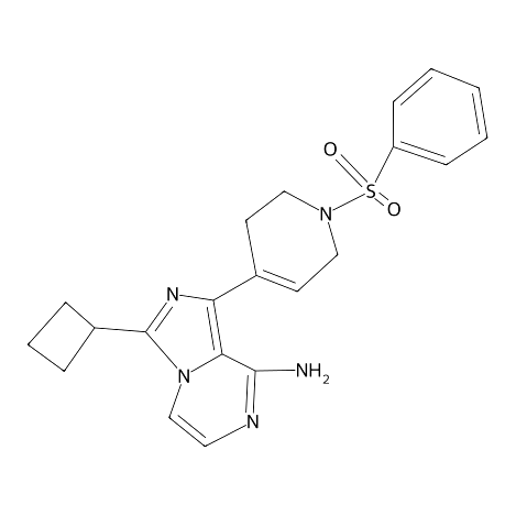 Nc1nccn2c(C3CCC3)nc(C3=CCN(S(=O)(=O)c4ccccc4)CC3)c12